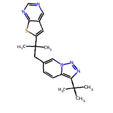 CC(C)(C)c1nnn2cc(CC(C)(C)c3cc4cncnc4s3)ccc12